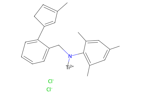 CC1=CCC(c2ccccc2C[N]([Ti+2])c2c(C)cc(C)cc2C)=C1.[Cl-].[Cl-]